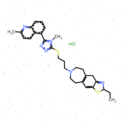 CCC1N=C2CC3=C(C=C2S1)CCN(CCCSc1nnc(-c2cccc4nc(C)ccc24)n1C)CC3.Cl